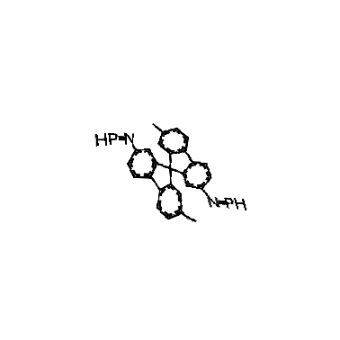 Cc1ccc2c(c1)C1(c3cc(C)ccc3-c3ccc(N=P)cc31)c1cc(N=P)ccc1-2